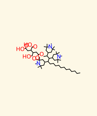 CCCCCCCCCCCCC(C1CC(C)(C)N(C)C(C)(C)C1)C(C1CC(C)(C)N(C)C(C)(C)C1)C(COC(=O)CC(C(=O)O)C(CC(=O)O)C(=O)O)C1CC(C)(C)N(C)C(C)(C)C1